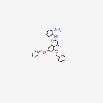 CC(CC(=O)Nc1ccccc1N)c1ccc(OCc2ccccc2)cc1OCc1ccccc1